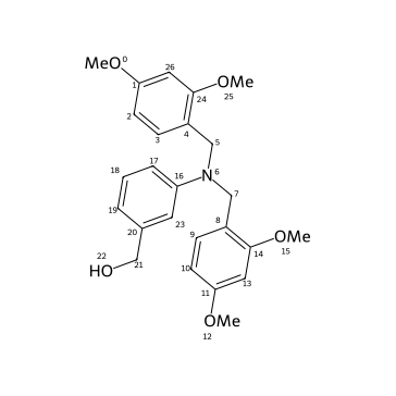 COc1ccc(CN(Cc2ccc(OC)cc2OC)c2cccc(CO)c2)c(OC)c1